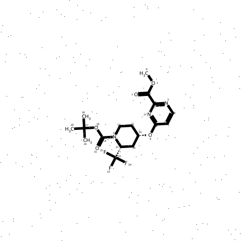 COC(=O)c1nccc(O[C@H]2CCN(C(=O)OC(C)(C)C)[C@@H](C(F)(F)F)C2)n1